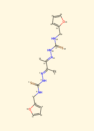 CCC(=N\NC(=S)NCc1ccco1)/C(C)=N/NC(=S)NCc1ccco1